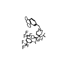 CC(C)CC1(C(=O)NC(C)c2cc(C(F)(F)F)cc(C(F)(F)F)c2)CCN(Cc2ccc3c(c2)OCO3)CC1